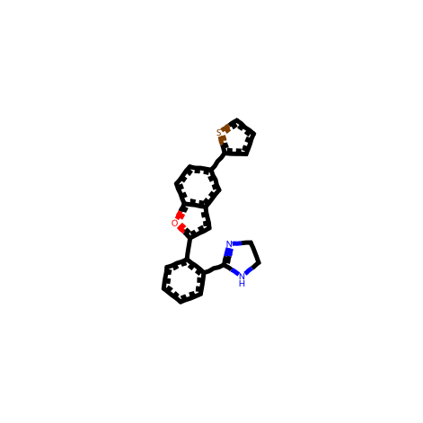 c1csc(-c2ccc3oc(-c4ccccc4C4=NCCN4)cc3c2)c1